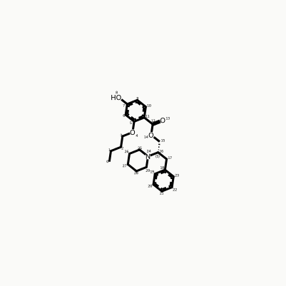 CCCCOc1cc(O)ccc1C(=O)OC[C@H](Cc1ccccc1)N1CCCCC1